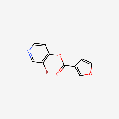 O=C(Oc1c[c]ncc1Br)c1ccoc1